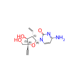 C#C[C@]1(CO)O[C@@H](n2ccc(N)nc2=O)[C@@H](C=C)[C@@H]1O